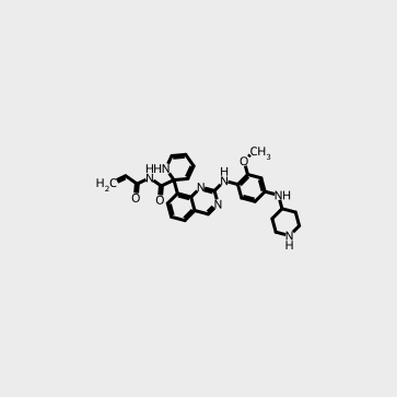 C=CC(=O)NC(=O)C1(c2cccc3cnc(Nc4ccc(NC5CCNCC5)cc4OC)nc23)C=CC=CN1